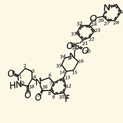 O=C1CCC(N2Cc3c(cc(F)cc3C3CCN(S(=O)(=O)c4ccc(Oc5ccccn5)cc4)CC3)C2=O)C(=O)N1